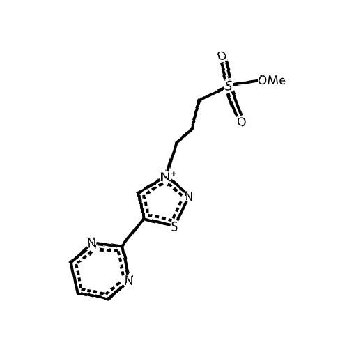 COS(=O)(=O)CCC[n+]1cc(-c2ncccn2)sn1